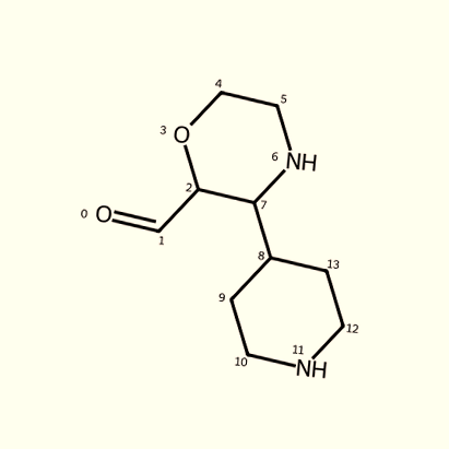 O=CC1OCCNC1C1CCNCC1